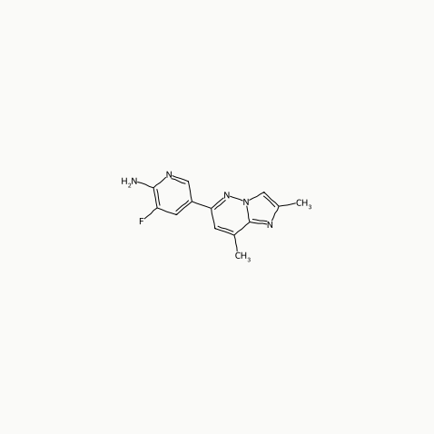 Cc1cn2nc(-c3cnc(N)c(F)c3)cc(C)c2n1